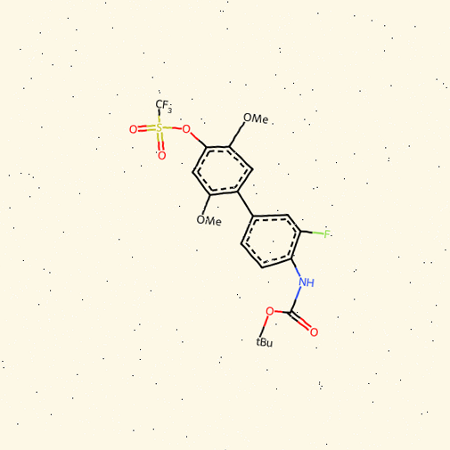 COc1cc(-c2ccc(NC(=O)OC(C)(C)C)c(F)c2)c(OC)cc1OS(=O)(=O)C(F)(F)F